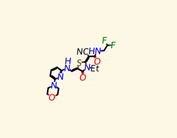 CCn1c(=C(C#N)C(=O)NCC(F)F)sc(=CNc2cccc(N3CCOCC3)n2)c1=O